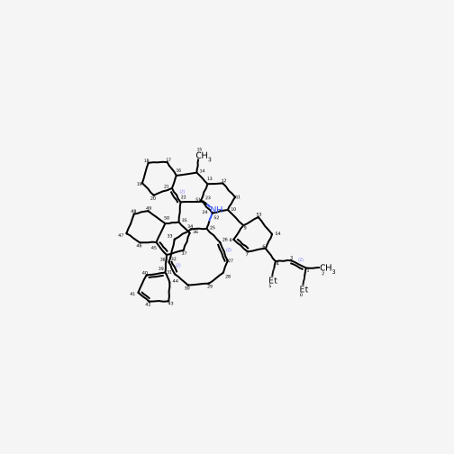 CC/C(C)=C\C(CC)C1C=CC(C2CCC(C(C)C3CCCC/C3=C(/CNC3/C=C\CCC/C=C\CC3)C3CCC(C4=CC=CCC4)=C4CCCCC43)CC2)CC1